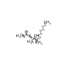 CCCCCCCCN(C)C(C)(C)C#CC(=O)SC